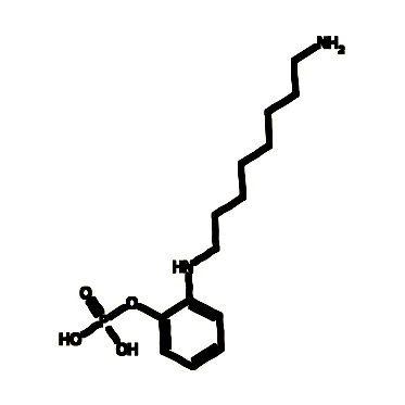 NCCCCCCCCNc1ccccc1OP(=O)(O)O